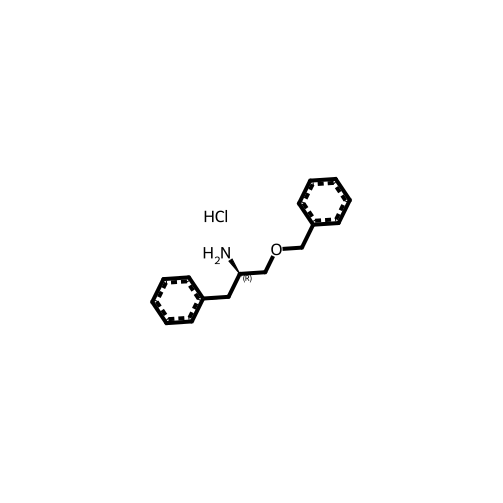 Cl.N[C@@H](COCc1ccccc1)Cc1ccccc1